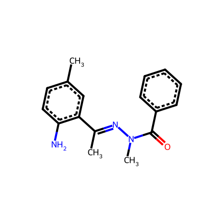 C/C(=N\N(C)C(=O)c1ccccc1)c1cc(C)ccc1N